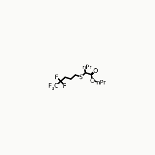 CCCOC(=O)C(CCC)SCCCC(F)(F)C(F)(F)F